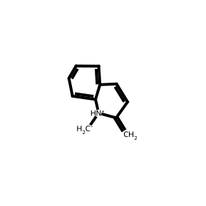 C=C1C=Cc2ccccc2[NH+]1[CH2-]